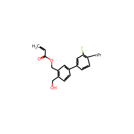 C=CC(=O)OCc1cc(-c2ccc(CCC)c(F)c2)ccc1CO